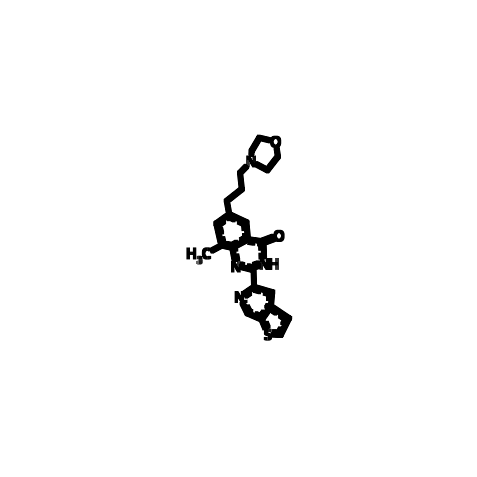 Cc1cc(CCCN2CCOCC2)cc2c(=O)[nH]c(-c3cc4ccsc4cn3)nc12